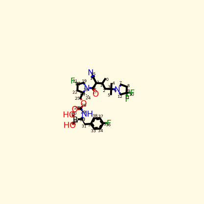 CC(CC(C)(C)N1CCC(F)(F)C1)C(C#N)C(=O)N1C[C@@H](F)C[C@]1(C)COC(=O)N[C@@H](Cc1ccc(F)cc1)B(O)O